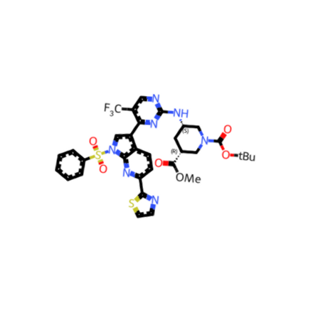 COC(=O)[C@@H]1C[C@H](Nc2ncc(C(F)(F)F)c(-c3cn(S(=O)(=O)c4ccccc4)c4nc(-c5nccs5)ccc34)n2)CN(C(=O)OC(C)(C)C)C1